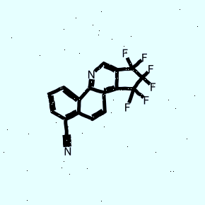 N#Cc1cccc2c1ccc1c3c(cnc12)C(F)(F)C(F)(F)C3(F)F